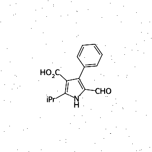 CC(C)c1[nH]c(C=O)c(-c2ccccc2)c1C(=O)O